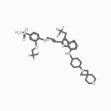 CS(=O)(=O)c1ccc(NCC#Cc2sc3c(NC4CCC(N5CC6(CCOCC6)C5)CC4)cccc3c2CC(F)(F)F)c(OCC(F)(F)F)c1